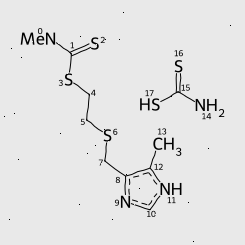 CNC(=S)SCCSCc1nc[nH]c1C.NC(=S)S